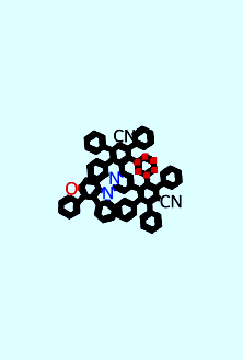 N#Cc1c(-c2ccccc2)c(-c2ccccc2)c(-c2cc(-c3c(-c4ccccc4)c(-c4ccccc4)c(C#N)c(-c4ccccc4)c3-c3ccccc3)nc(-n3c4ccccc4c4c5c(ccc43)oc3ccccc35)c2)c(-c2ccccc2)c1-c1ccccc1